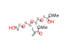 C=C(C)C(=O)OC.COC(O)COCCOCCOCCO